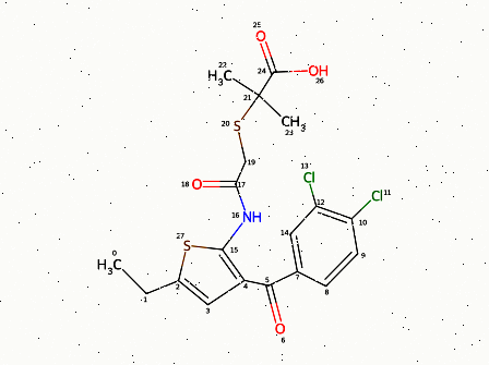 CCc1cc(C(=O)c2ccc(Cl)c(Cl)c2)c(NC(=O)CSC(C)(C)C(=O)O)s1